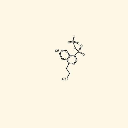 CC(=O)OCCc1ccc(S(=O)(=O)OS(=O)(=O)Cl)c2ccccc12.[KH]